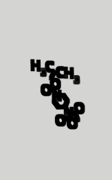 CC(C)COC(=O)N1CCC(N2C(=O)COC2=O)CC1